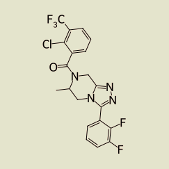 CC1Cn2c(nnc2-c2cccc(F)c2F)CN1C(=O)c1cccc(C(F)(F)F)c1Cl